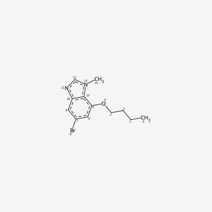 CCCCOc1cc(Br)cc2ncn(C)c12